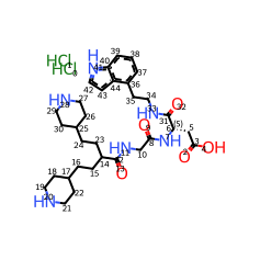 Cl.Cl.O=C(O)C[C@H](NC(=O)CNC(=O)C(CCC1CCNCC1)CCC1CCNCC1)C(=O)NCCc1cccc2[nH]ccc12